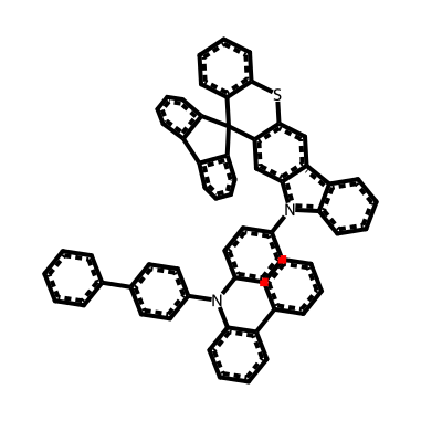 c1ccc(-c2ccc(N(c3ccc(-n4c5ccccc5c5cc6c(cc54)C4(c5ccccc5S6)c5ccccc5-c5ccccc54)cc3)c3ccccc3-c3ccccc3)cc2)cc1